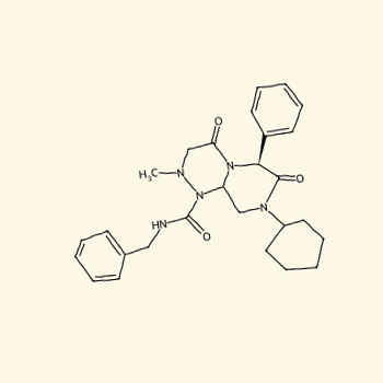 CN1CC(=O)N2C(CN(C3CCCCC3)C(=O)[C@@H]2c2ccccc2)N1C(=O)NCc1ccccc1